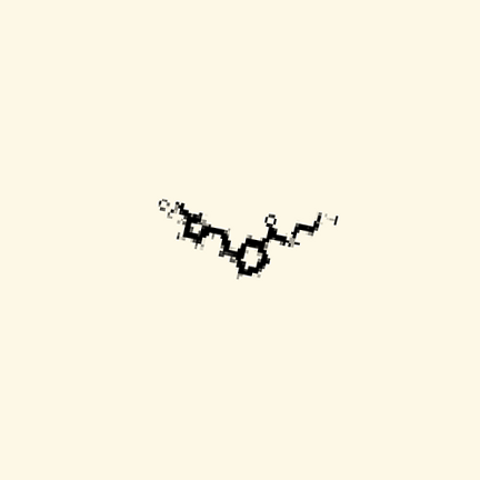 O=C(NCCO)c1cccc(C=Cc2ccc([N+](=O)[O-])o2)c1